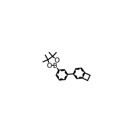 CC1(C)OB(c2cccc(-c3ccc4c(c3)CC4)c2)OC1(C)C